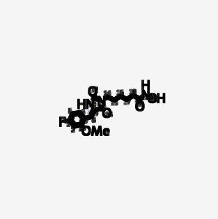 COc1cc(F)ccc1/C=C1\NC(=O)N(CCCCCC(=O)NO)C1=O